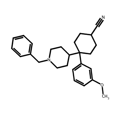 COc1cccc(C2(C3CCN(Cc4ccccc4)CC3)CCC(C#N)CC2)c1